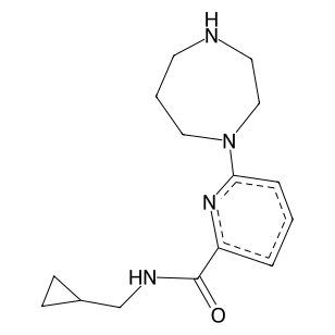 O=C(NCC1CC1)c1cccc(N2CCCNCC2)n1